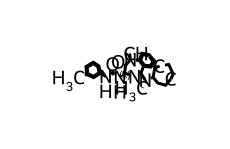 Cc1cccc(NC(=O)N[C@@H]2N=C(N(C)C3CCCCCCC3)c3ccccc3N(C)C2=O)c1